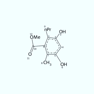 CCCc1c(O)cc(O)c(C)c1C(=O)OC